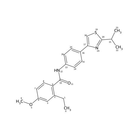 CCc1cc(OC)ccc1C(=O)Nc1ccc(-c2csc(C(C)C)n2)cc1